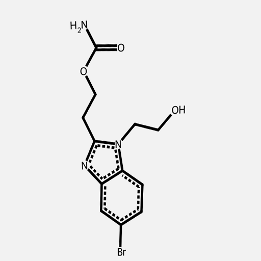 NC(=O)OCCc1nc2cc(Br)ccc2n1CCO